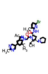 C#C[C@@H]1[C@@H](CN2CCCCC2)C[C@@H](C(=O)Nc2nc(Br)ccc2C)N1C(=O)Cn1nc(C(C)=O)c2cc(-c3cnc(C)nc3)cc(C)c21